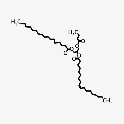 CCCCCCCC/C=C\CCCCCCCC(=O)OC(COC(=O)CCC)COC(=O)CCCCCCCCCCCCCCCCC